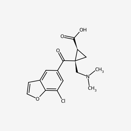 CN(C)C[C@]1(C(=O)c2cc(Cl)c3occc3c2)C[C@@H]1C(=O)O